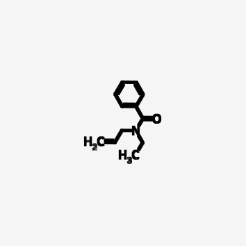 C=CCN(CC)C(=O)c1ccccc1